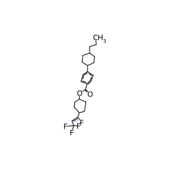 CCCC1CCC(c2ccc(C(=O)OC3CCC(/C(F)=C/C(F)(F)F)CC3)cc2)CC1